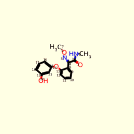 CNC(=O)C(=NOC)c1ccccc1Oc1cccc(O)c1